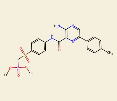 CCOP(=O)(CS(=O)(=O)c1ccc(NC(=O)c2nc(-c3ccc(C)cc3)cnc2N)cc1)OCC